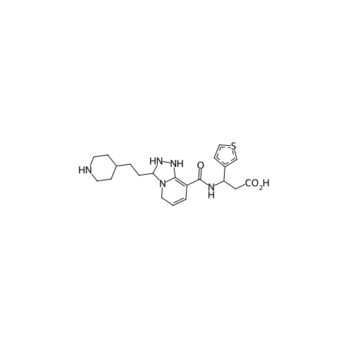 O=C(O)CC(NC(=O)C1=C2NNC(CCC3CCNCC3)N2CC=C1)c1ccsc1